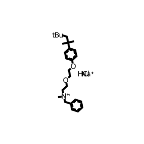 CC(C)(C)CC(C)(C)c1ccc(OCCOCC[N+](C)(C)Cc2ccccc2)cc1.Cl.[Na+]